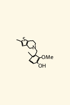 COc1c(O)ccc(C)c1CN1CCc2sc(C)cc2C1